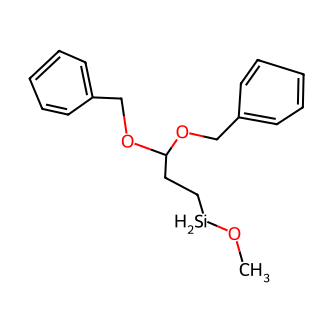 CO[SiH2]CCC(OCc1ccccc1)OCc1ccccc1